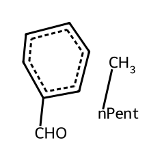 CCCCCC.O=Cc1ccccc1